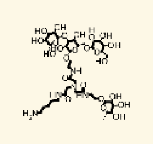 C[C@@H]1O[C@@H](OCCNC(=O)CN(CC(=O)NCCCCCN)CC(=O)NCCO[C@H]2O[C@H](CO[C@H]3O[C@H](CO)[C@@H](O)[C@H](O)[C@@H]3O)[C@@H](O)[C@H](O[C@H]3O[C@H](CO)[C@@H](O)[C@H](O)[C@@H]3O)[C@@H]2O)[C@@H](O)[C@H](O)[C@@H]1O